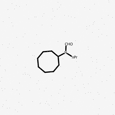 CCCN(C=O)C1CCCCCCC1